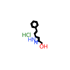 Cl.OCc1cc(C=Cc2ccccc2)[nH]n1